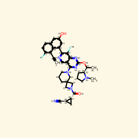 C#Cc1c(F)ccc2cc(O)cc(-c3ncc4c(N5CCCC6(CN(C(=O)[C@@H]7C[C@H]7C#N)C6)C5)nc(OC(C)[C@@H]5CCCN5C)nc4c3F)c12